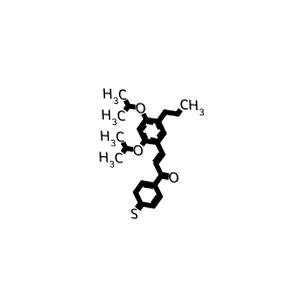 CCCc1cc(C=CC(=O)C2=CCC(=S)C=C2)c(OC(C)C)cc1OC(C)C